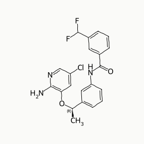 C[C@@H](Oc1cc(Cl)cnc1N)c1cccc(NC(=O)c2cccc(C(F)F)c2)c1